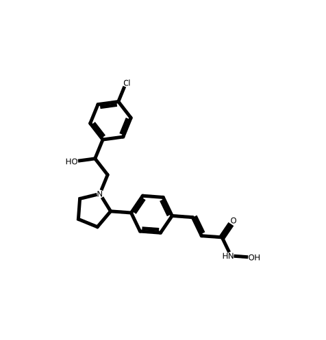 O=C(/C=C/c1ccc(C2CCCN2CC(O)c2ccc(Cl)cc2)cc1)NO